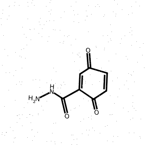 NNC(=O)C1=CC(=O)C=CC1=O